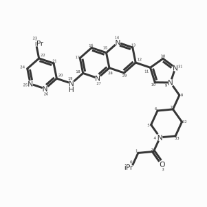 CC(C)CC(=O)N1CCC(Cn2cc(-c3cnc4ccc(Nc5cc(C(C)C)cnn5)nc4c3)cn2)CC1